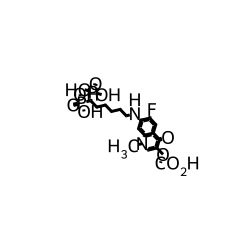 Cn1cc(OC(=O)O)c(=O)c2cc(F)c(NCCCCCC(P(=O)(O)O)P(=O)(O)O)cc21